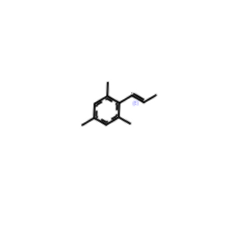 C/C=[C]/c1c(C)cc(C)cc1C